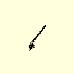 CCCCCCCCCCCCCCCCCCCCSc1nc2ccc(C)cc2c(=O)o1